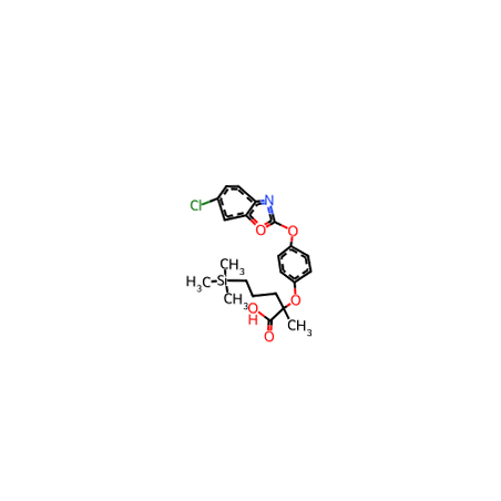 CC(CCC[Si](C)(C)C)(Oc1ccc(Oc2nc3ccc(Cl)cc3o2)cc1)C(=O)O